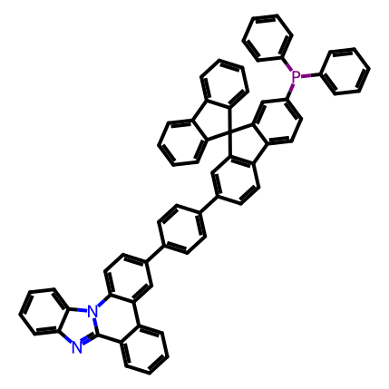 c1ccc(P(c2ccccc2)c2ccc3c(c2)C2(c4ccccc4-c4ccccc42)c2cc(-c4ccc(-c5ccc6c(c5)c5ccccc5c5nc7ccccc7n65)cc4)ccc2-3)cc1